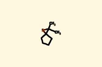 CC1(C)SC12CCCC2